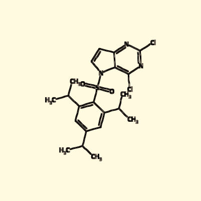 CC(C)c1cc(C(C)C)c(S(=O)(=O)n2ccc3nc(Cl)nc(Cl)c32)c(C(C)C)c1